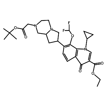 CCOC(=O)c1cn(C2CC2)c2c(OC(F)F)c(C3CC4CN(CC(=O)OC(C)(C)C)CCN4C3)ccc2c1=O